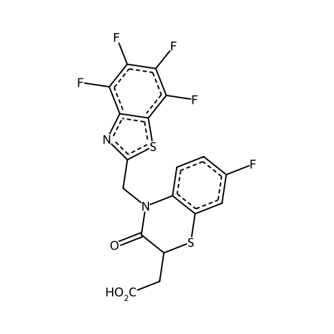 O=C(O)CC1Sc2cc(F)ccc2N(Cc2nc3c(F)c(F)c(F)c(F)c3s2)C1=O